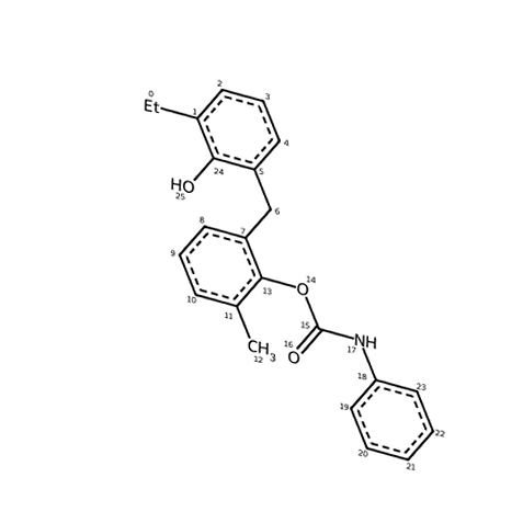 CCc1cccc(Cc2cccc(C)c2OC(=O)Nc2ccccc2)c1O